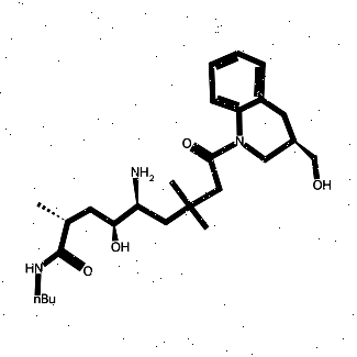 CCCCNC(=O)[C@H](C)C[C@H](O)[C@@H](N)CC(C)(C)CC(=O)N1C[C@H](CO)Cc2ccccc21